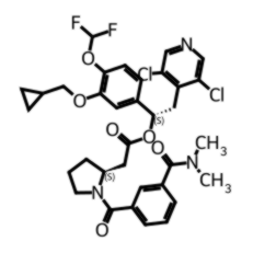 CN(C)C(=O)c1cccc(C(=O)N2CCC[C@H]2CC(=O)O[C@@H](Cc2c(Cl)cncc2Cl)c2ccc(OC(F)F)c(OCC3CC3)c2)c1